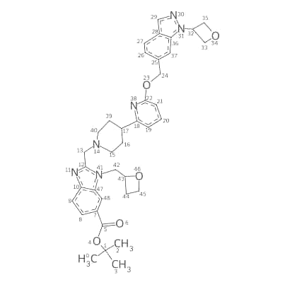 CC(C)(C)OC(=O)c1ccc2nc(CN3CCC(c4cccc(OCc5ccc6cnn(C7COC7)c6c5)n4)CC3)n(CC3CCO3)c2c1